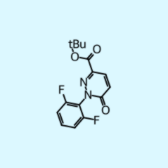 CC(C)(C)OC(=O)c1ccc(=O)n(-c2c(F)cccc2F)n1